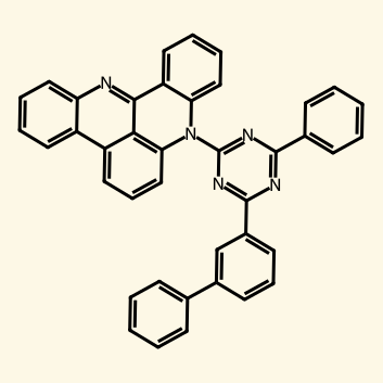 c1ccc(-c2cccc(-c3nc(-c4ccccc4)nc(N4c5ccccc5-c5nc6ccccc6c6cccc4c56)n3)c2)cc1